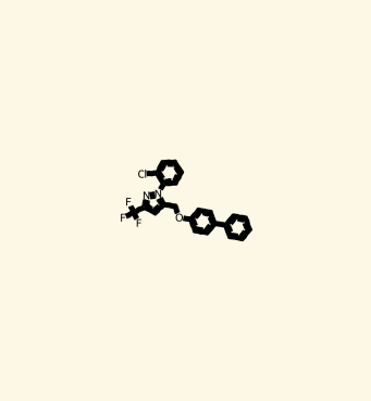 FC(F)(F)c1cc(COc2ccc(-c3ccccc3)cc2)n(-c2ccccc2Cl)n1